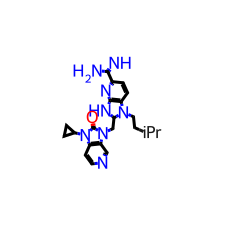 CC(C)CCN1c2ccc(C(=N)N)nc2NC1Cn1c(=O)n(C2CC2)c2ccncc21